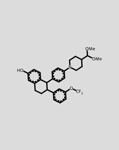 COC(OC)C1CCN(c2ccc(C3c4ccc(O)cc4CCC3c3cccc(OC(F)(F)F)c3)cc2)CC1